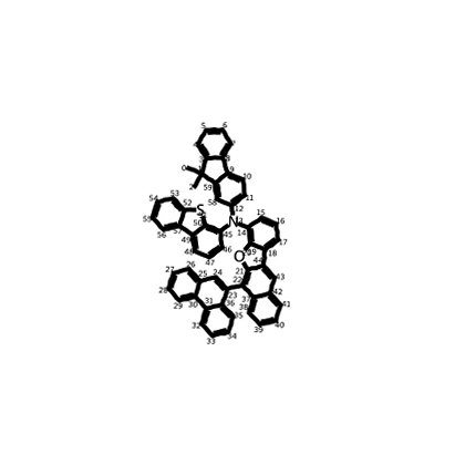 CC1(C)c2ccccc2-c2ccc(N(c3cccc4c3oc3c(-c5cc6ccccc6c6ccccc56)c5ccccc5cc34)c3cccc4c3sc3ccccc34)cc21